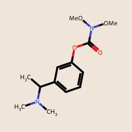 CON(OC)C(=O)Oc1cccc(C(C)N(C)C)c1